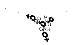 CC(C)(C)[C@H]1CC[C@H](C(=O)Nc2cc(NC(=O)C3CCCC3)cc(NC(=O)[C@H]3CC[C@H](C(C)(C)C)CC3)c2)CC1